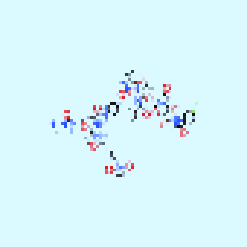 CC[C@H](C)C([C@@H](CC(=O)N1C[C@H](OC)C[C@H]1[C@H](OC)[C@@H](C)C(=O)N[C@@H](C)C(=O)c1ccc(F)cc1)OC)N(C)C(=O)[C@@H](NC(=O)[C@H](C(C)C)N(C)C(=O)OCc1ccc(NC(=O)[C@H](CCCNC(N)=O)NC(=O)[C@@H](NC(=O)CCCCCN2C(=O)C=CC2=O)C(C)C)cc1)C(C)C